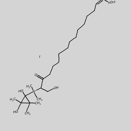 CCCCCCCC/C=C\CCCCCCCCCCCC(=O)C(CO)[N+](C)(C)C1(O)C(C)(C)C1(C)O.[I-]